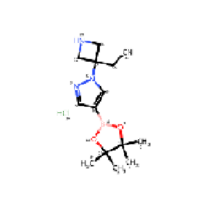 CC1(C)OB(c2cnn(C3(CC#N)CNC3)c2)OC1(C)C.Cl